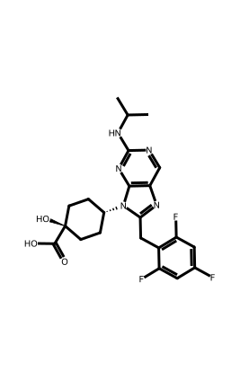 CC(C)Nc1ncc2nc(Cc3c(F)cc(F)cc3F)n([C@H]3CC[C@@](O)(C(=O)O)CC3)c2n1